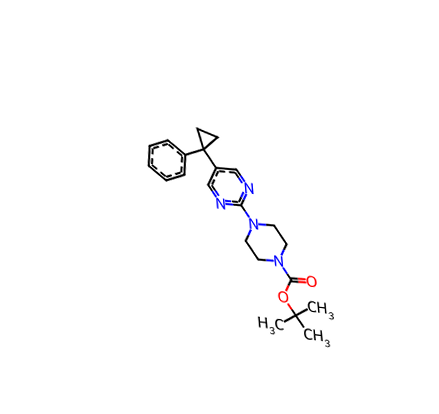 CC(C)(C)OC(=O)N1CCN(c2ncc(C3(c4ccccc4)CC3)cn2)CC1